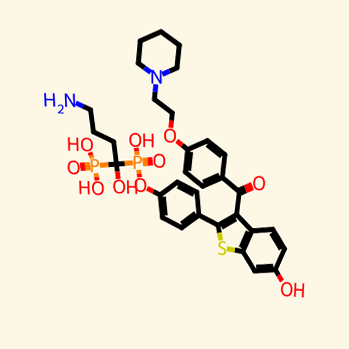 NCCCC(O)(P(=O)(O)O)P(=O)(O)Oc1ccc(-c2sc3cc(O)ccc3c2C(=O)c2ccc(OCCN3CCCCC3)cc2)cc1